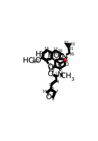 CN(C(=O)/C=C/c1ccoc1)[C@@H]1CC[C@@]2(O)C3Cc4ccc(O)c5c4[C@@]2([C@H](F)CN3CC2CC2)[C@H]1O5.Cl